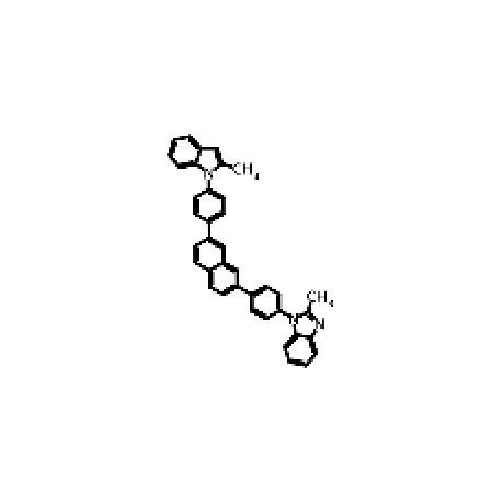 Cc1cc2ccccc2n1-c1ccc(-c2ccc3ccc(-c4ccc(-n5c(C)nc6ccccc65)cc4)cc3c2)cc1